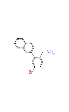 NCc1ccc(Br)cc1-c1ccc2ccccc2c1